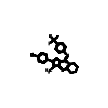 Cn1c(-c2ccc(Cl)cc2)cc2/c(=N\c3ccc(C(F)(F)F)cc3)n3c(nc21)CCCC3